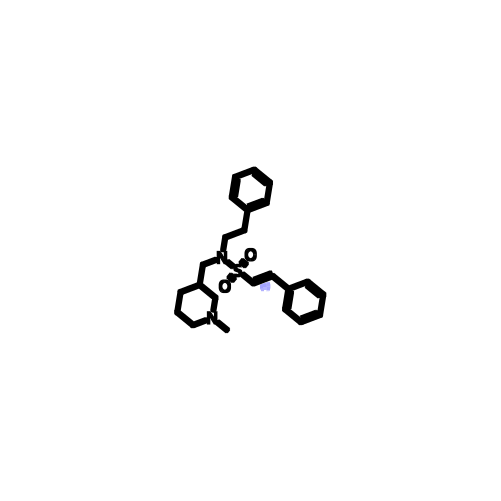 CN1CCCC(CN(CCc2ccccc2)S(=O)(=O)/C=C/c2ccccc2)C1